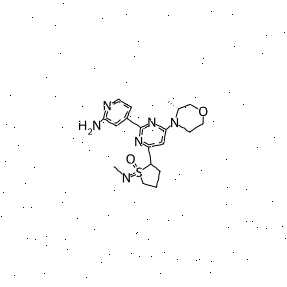 CN=S1(=O)CCCC1c1cc(N2CCOC[C@H]2C)nc(-c2ccnc(N)c2)n1